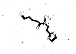 CN(CCc1nccs1)C(=O)CCCC=O